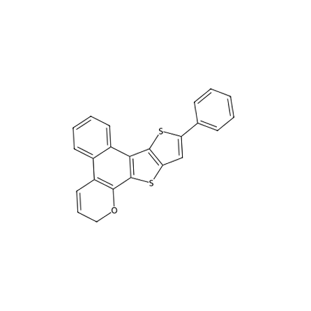 C1=Cc2c(c3sc4cc(-c5ccccc5)sc4c3c3ccccc23)OC1